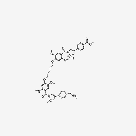 C=Nc1cc(OCCCCCOc2cc3c(cc2OC)C(=O)N2C=C(c4ccc(C(=O)OC)cc4)C[C@H]2C=N3)c(OC)cc1C(=O)N1C=C(c2ccc(CN)cc2)C[C@H]1C